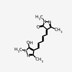 CC1=NN(C)C(=O)C1=CC=CC=Cc1c(C)nn(C)c1O